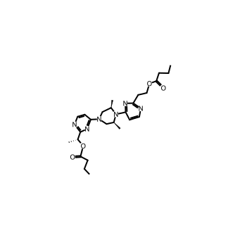 CCCC(=O)OCCc1nccc(N2[C@H](C)CN(c3ccnc([C@@H](C)OC(=O)CCC)n3)C[C@@H]2C)n1